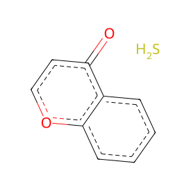 O=c1ccoc2ccccc12.S